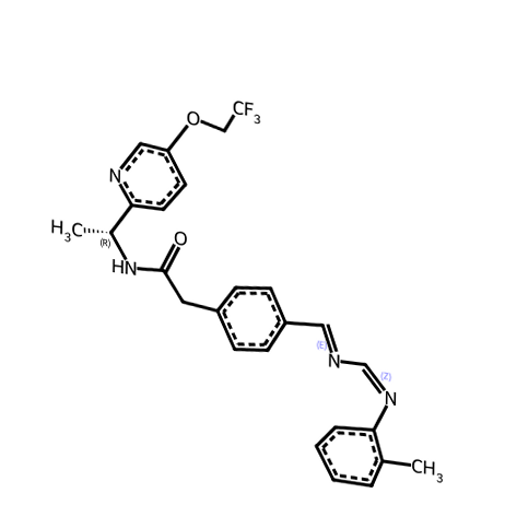 Cc1ccccc1/N=C\N=C\c1ccc(CC(=O)N[C@H](C)c2ccc(OCC(F)(F)F)cn2)cc1